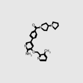 Cc1cccnc1COc1cc(-c2ccc(C(=O)N3CCC(N4CCCC4)CC3)cc2)cnc1N